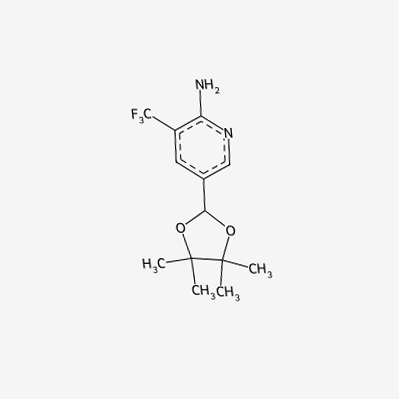 CC1(C)OC(c2cnc(N)c(C(F)(F)F)c2)OC1(C)C